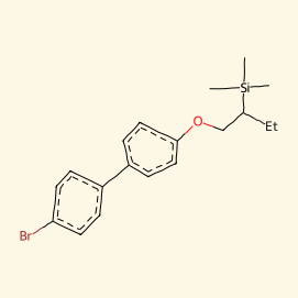 CCC(COc1ccc(-c2ccc(Br)cc2)cc1)[Si](C)(C)C